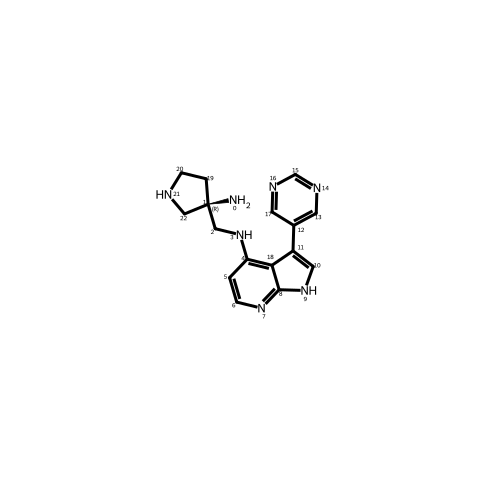 N[C@]1(CNc2ccnc3[nH]cc(-c4cncnc4)c23)CCNC1